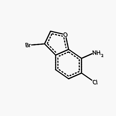 Nc1c(Cl)ccc2c(Br)coc12